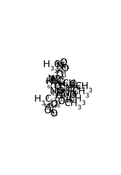 Cc1c([C@H](CN(Cc2cnn(-c3ccc4oc(=O)n(C)c4c3)c2)C(=O)OC(C)(C)C)OC(=O)[C@H](NC(=O)OC(C)(C)C)C(C)C)ccc2c1COC2=O